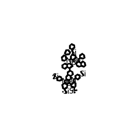 C[Si](C)(C)c1ccc(N2c3ccc([Si](C)(C)C)cc3B3c4cc([Si](C)(C)C)ccc4N(c4ccc([Si](C)(C)C)cc4)c4c3c2cc2cc(-c3cc5c(c6ccccc36)N(c3ccccc3)c3cc([Si](C)(c6ccccc6)c6ccccc6)cc6c3B5c3ccc5ccccc5c3N6c3ccccc3)ccc42)cc1